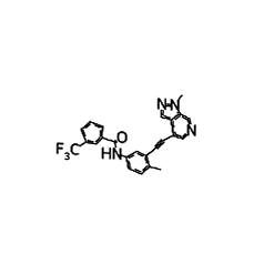 Cc1ccc(NC(=O)c2cccc(C(F)(F)F)c2)cc1C#Cc1cncc2c1cnn2C